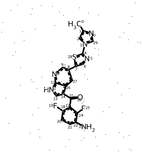 Cc1cn(-c2ncc(-c3cnc4[nH]cc(C(=O)c5c(F)ccc(N)c5F)c4c3)s2)cn1